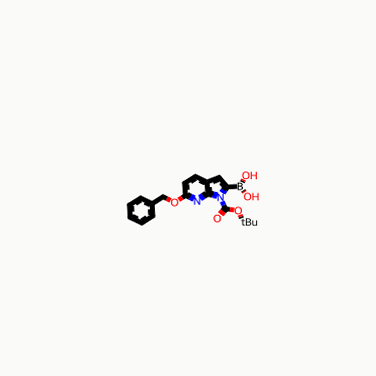 CC(C)(C)OC(=O)n1c(B(O)O)cc2ccc(OCc3ccccc3)nc21